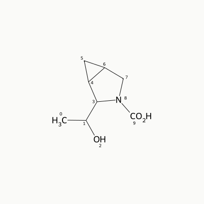 CC(O)C1C2CC2CN1C(=O)O